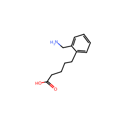 NCc1ccccc1CCCCC(=O)O